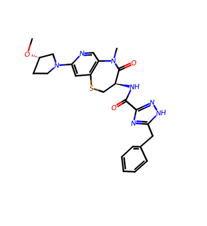 CO[C@H]1CCN(c2cc3c(cn2)N(C)C(=O)[C@@H](NC(=O)c2n[nH]c(Cc4ccccc4)n2)CS3)C1